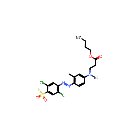 CCN(CCC(=O)OCCCC#N)c1ccc(N=Nc2cc(Cl)c(S(=O)(=O)F)cc2Cl)c(C)c1